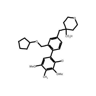 COc1cc(-c2ccc(CC3(C(=O)O)CCOCC3)cc2COC2CCCC2)c(Cl)c(OC)c1C